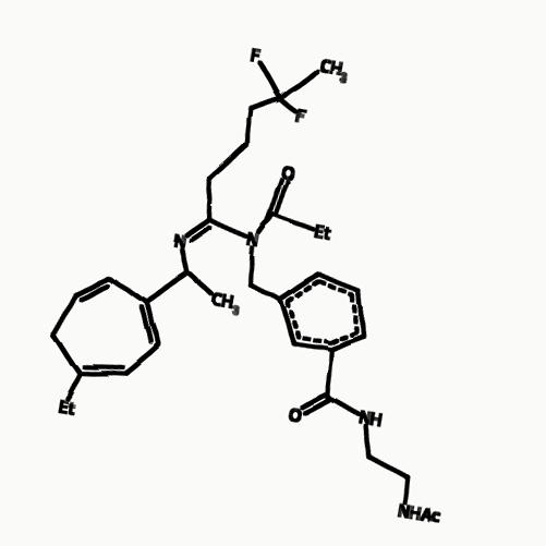 CCC(=O)N(Cc1cccc(C(=O)NCCNC(C)=O)c1)/C(CCCC(C)(F)F)=N\C(C)C1=CC=C(CC)CC=C1